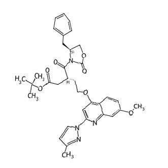 COc1ccc2c(OCC[C@H](CC(=O)OC(C)(C)C)C(=O)N3C(=O)OC[C@@H]3Cc3ccccc3)cc(-n3ccc(C)n3)nc2c1